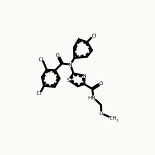 COCNC(=O)c1csc(N(C(=O)c2ccc(Cl)cc2Cl)c2ccc(Cl)cc2)n1